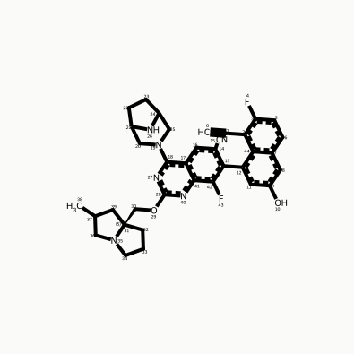 C#Cc1c(F)ccc2cc(O)cc(-c3c(C#N)cc4c(N5CC6CCC(C5)N6)nc(OC[C@@]56CCCN5CC(C)C6)nc4c3F)c12